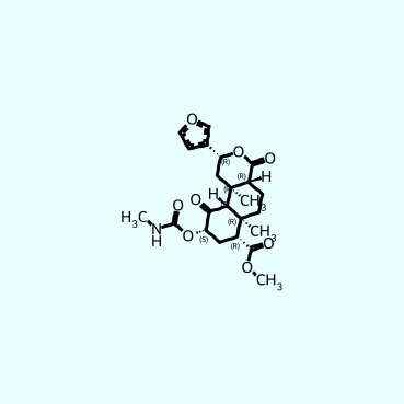 CNC(=O)O[C@H]1C[C@@H](C(=O)OC)[C@]2(C)CC[C@H]3C(=O)O[C@@H](c4ccoc4)C[C@]3(C)[C@H]2C1=O